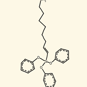 CCCCCCCC=C[Si](Oc1ccccc1)(Oc1ccccc1)Oc1ccccc1